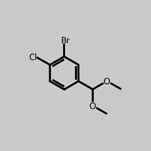 COC(OC)c1ccc(Cl)c(Br)c1